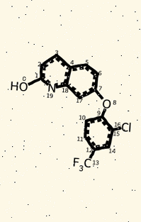 Oc1ccc2ccc(Oc3ccc(C(F)(F)F)cc3Cl)cc2n1